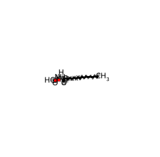 CCCCCCCCCCCCCCCCOC(=O)NC[C@H](N)C(=O)O